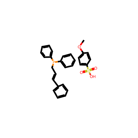 C(=Cc1ccccc1)CP(c1ccccc1)c1ccccc1.COc1ccc(S(=O)(=O)O)cc1